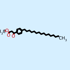 CCCCCCCCCCCCCCCCc1ccc(C(=O)CC(=O)OC)cc1